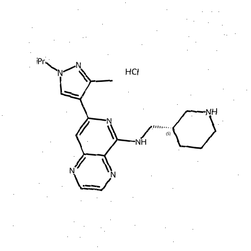 Cc1nn(C(C)C)cc1-c1cc2nccnc2c(NC[C@H]2CCCNC2)n1.Cl